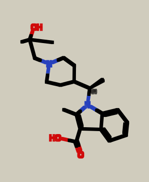 Cc1c(C(=O)O)c2ccccc2n1[C@H](C)C1CCN(CC(C)(C)O)CC1